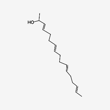 CC=CCCC=CCCC=CCCC=CC(C)O